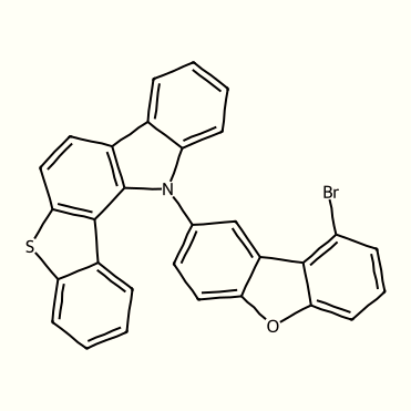 Brc1cccc2oc3ccc(-n4c5ccccc5c5ccc6sc7ccccc7c6c54)cc3c12